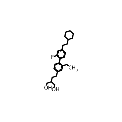 CCc1cc(CCC(CO)CO)ccc1-c1ccc(CCC2CCCCC2)cc1F